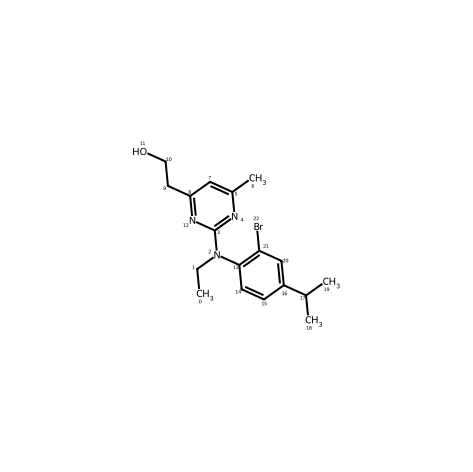 CCN(c1nc(C)cc(CCO)n1)c1ccc(C(C)C)cc1Br